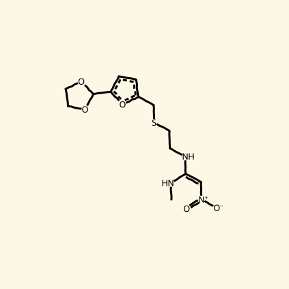 CNC(=C[N+](=O)[O-])NCCSCc1ccc(C2OCCO2)o1